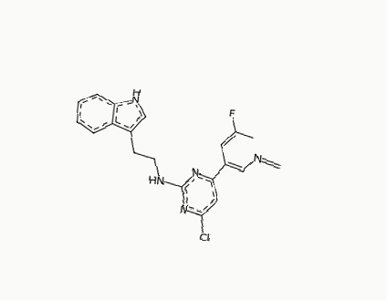 C=N/C=C(\C=C(/C)F)c1cc(Cl)nc(NCCc2c[nH]c3ccccc23)n1